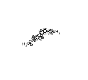 Cc1cc(S(=O)(=O)CCOC(N)=O)ccc1C(=O)N1CCOc2ccc(-c3ccc(N)nc3)cc2C1